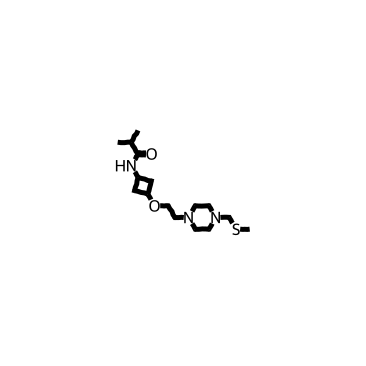 CSCN1CCN(CCOC2CC(NC(=O)C(C)C)C2)CC1